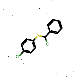 Clc1ccc(SC(Cl)c2ccccc2)cc1